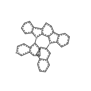 c1ccc2cc(-n3c4ccccc4c4ccc5c6ccccc6n(-c6cccc7cnccc67)c5c43)ccc2c1